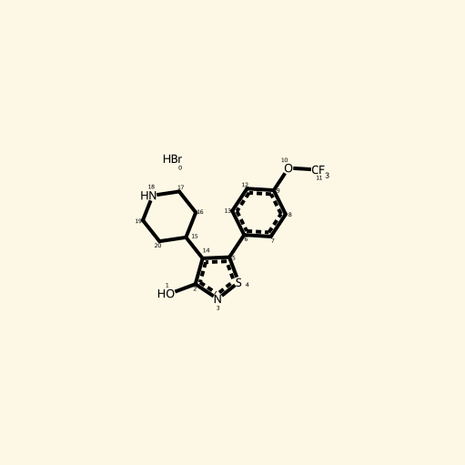 Br.Oc1nsc(-c2ccc(OC(F)(F)F)cc2)c1C1CCNCC1